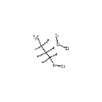 CCOC(F)(F)C(F)(F)C(F)(F)C(F)(F)F.CCOCC